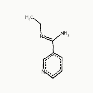 CCN=C(N)c1cccnc1